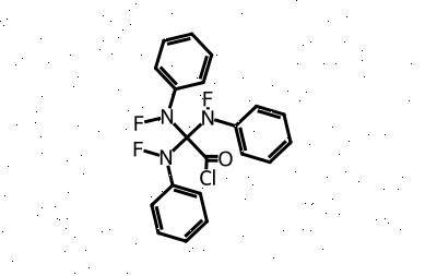 O=C(Cl)C(N(F)c1ccccc1)(N(F)c1ccccc1)N(F)c1ccccc1